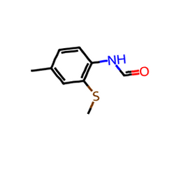 CSc1cc(C)ccc1NC=O